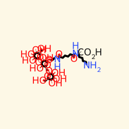 NCCCC[C@H](NC(=O)CCCCC(=O)NCCO[C@H]1O[C@H](CO[C@H]2O[C@H](CO)[C@@H](O)[C@H](O)[C@@H]2O)[C@@H](O)[C@H](O[C@H]2O[C@H](CO)[C@@H](O)[C@H](O)[C@@H]2O)[C@@H]1O)C(=O)O